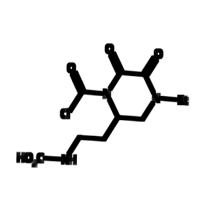 CCN1CC(CCNC(=O)O)N(C(=O)Cl)C(=O)C1=O